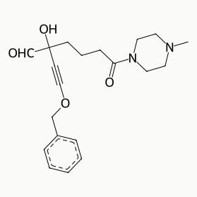 CN1CCN(C(=O)CCCC(O)(C#COCc2ccccc2)C=O)CC1